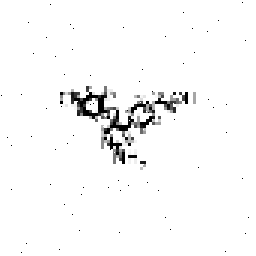 Nc1ncc(Oc2ccc(Cl)cc2F)c(N2CCN(CCO)CC2)n1